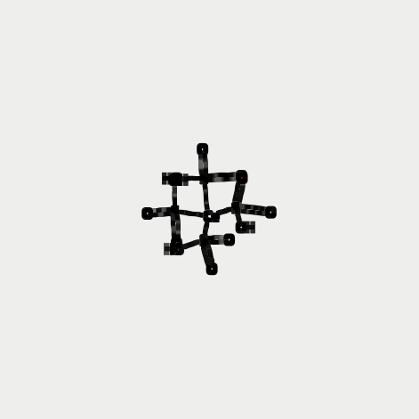 O=[S](=O)(O)[Ce]([S](=O)(=O)O)([S](=O)(=O)O)[S](=O)(=O)O